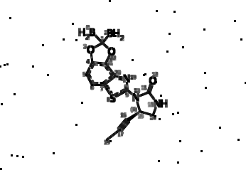 BC1(B)Oc2ccc3sc(N4C(=O)NC[C@H]4C#CC)nc3c2O1